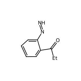 CCC(=O)c1ccccc1N=N